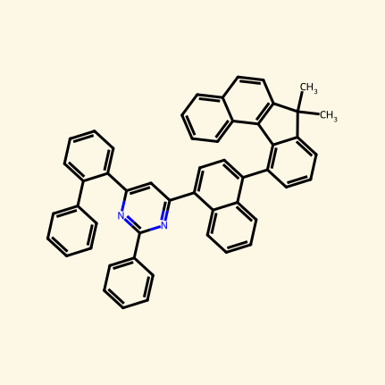 CC1(C)c2cccc(-c3ccc(-c4cc(-c5ccccc5-c5ccccc5)nc(-c5ccccc5)n4)c4ccccc34)c2-c2c1ccc1ccccc21